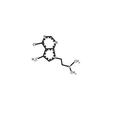 Cc1cn(CCN(C)C)c2ncnc(Cl)c12